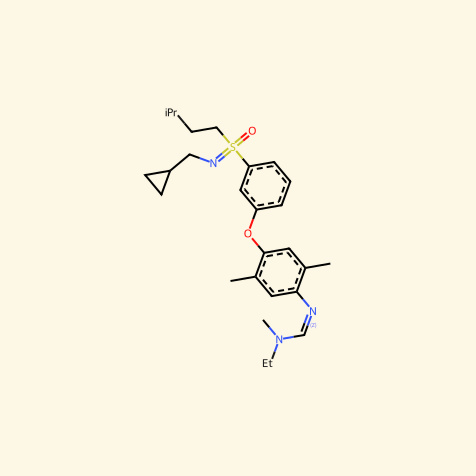 CCN(C)/C=N\c1cc(C)c(Oc2cccc(S(=O)(CCC(C)C)=NCC3CC3)c2)cc1C